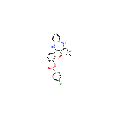 CC1(C)CC(=O)C2=C(C1)NC1C=CC=CC1NC2c1cccc(OC(=O)c2ccc(Cl)cc2)c1